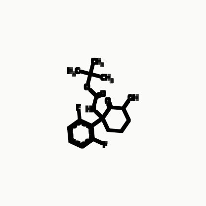 CC(C)(C)OC(=O)NC1(c2c(F)cccc2F)CCCC(O)C1=O